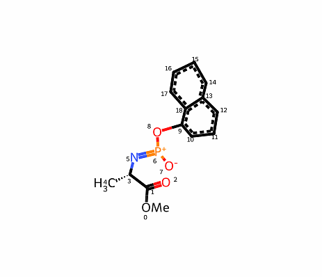 COC(=O)[C@H](C)N=[P+]([O-])Oc1cccc2ccccc12